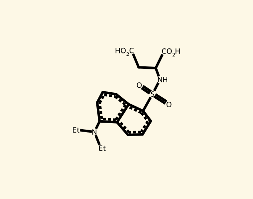 CCN(CC)c1cccc2c(S(=O)(=O)NC(CC(=O)O)C(=O)O)cccc12